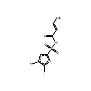 CC=CC(=O)NS(=O)(=O)c1cc(Cl)c(Cl)s1